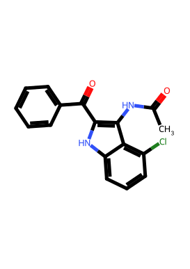 CC(=O)Nc1c(C(=O)c2ccccc2)[nH]c2cccc(Cl)c12